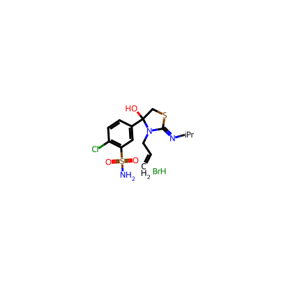 Br.C=CCN1C(=NC(C)C)SCC1(O)c1ccc(Cl)c(S(N)(=O)=O)c1